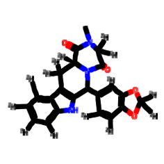 [2H]c1c([2H])c(C2c3[nH]c4c([2H])c([2H])c([2H])c([2H])c4c3C([2H])([2H])[C@]3([2H])C(=O)N(C)C([2H])([2H])C(=O)N23)c([2H])c2c1OC([2H])([2H])O2